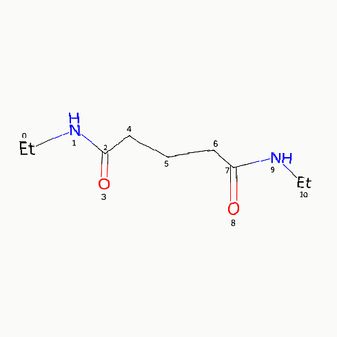 CCNC(=O)CCCC(=O)NCC